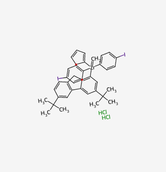 Cl.Cl.[CH2]=[Zr]([C]1=CC=CC1)([c]1ccc(I)cc1)([c]1ccc(I)cc1)[c]1cc(C(C)(C)C)cc2c1Cc1ccc(C(C)(C)C)cc1-2